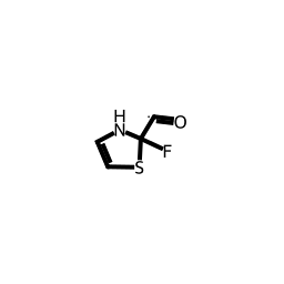 O=[C]C1(F)NC=CS1